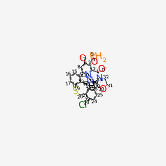 O=C1c2c(OP)c(=O)ccn2N([C@@H]2c3ccccc3SCc3c(Cl)cccc32)[C@@H]2COCCN12